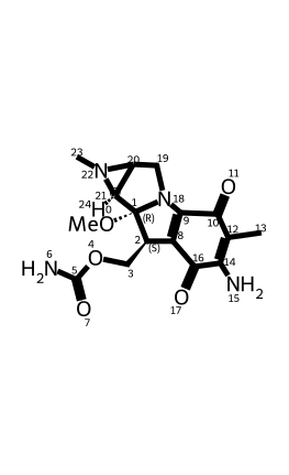 CO[C@@]12[C@H](COC(N)=O)C3=C(C(=O)C(C)=C(N)C3=O)N1CC1[C@@H]2N1C